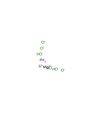 Cl.Cl.Cl.P.[Cl-].[Cl-].[Cl-].[Li+].[Mg+2]